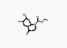 CCOC(=O)n1ccc(=O)c2cc(F)c(Cl)nc21